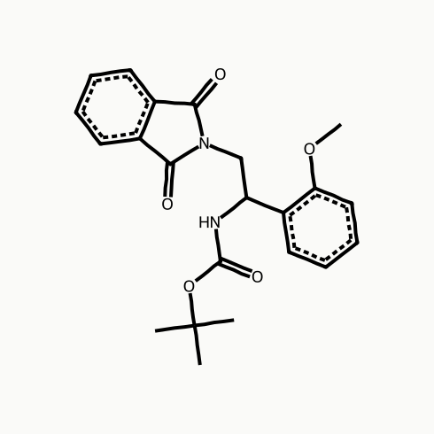 COc1ccccc1C(CN1C(=O)c2ccccc2C1=O)NC(=O)OC(C)(C)C